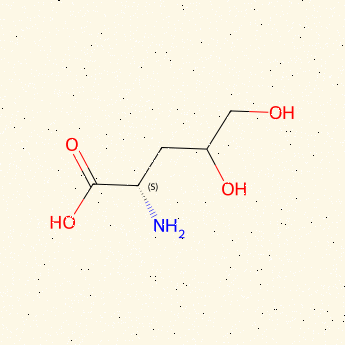 N[C@@H](CC(O)CO)C(=O)O